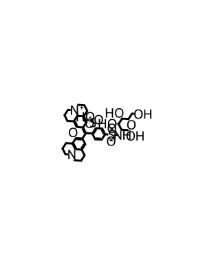 O=S(=O)(O)c1cc(S(=O)(=O)NC2C(O)OC(CO)[C@H](O)[C@H]2O)ccc1C1=c2cc3c4c(c2Oc2c1cc1c5c2CCCN5CCC1)CCC[N+]=4CCC3